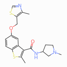 Cc1ncsc1COc1ccc2sc(C)c(C(=O)NC3CCN(C)C3)c2c1